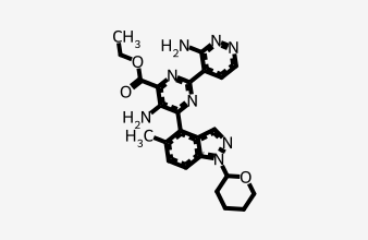 CCOC(=O)c1nc(-c2ccnnc2N)nc(-c2c(C)ccc3c2cnn3C2CCCCO2)c1N